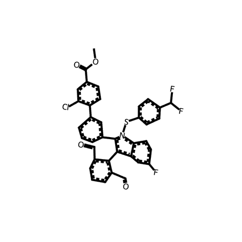 COC(=O)c1ccc(-c2cccc(-c3c(-c4c(C=O)cccc4C=O)c4cc(F)ccc4n3Sc3ccc(C(F)F)cc3)c2)c(Cl)c1